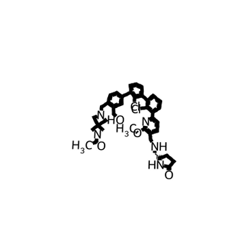 COc1nc(-c2cccc(-c3cccc(-c4ccc(CN5CC6(C5)CN(C(C)=O)C6)c(CO)c4)c3Cl)c2Cl)ccc1CNC[C@@H]1CCC(=O)N1